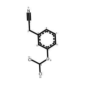 N#CCc1cccc(OC(Cl)Cl)c1